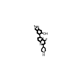 Cn1cc2cc(-c3ccc4nc(C5CCNCC5)cc(F)c4n3)c(O)cc2n1